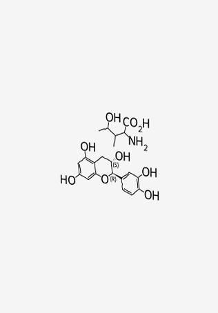 CC(O)C(C)C(N)C(=O)O.Oc1cc(O)c2c(c1)O[C@H](c1ccc(O)c(O)c1)[C@@H](O)C2